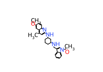 COc1ccc2nc(NC3CCCC(NCc4cn(C(C)=O)c5ccccc45)C3)cc(C)c2c1